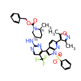 Cc1noc(C)c1-c1ccc2c(-c3nc(N[C@H]4CC[C@H](C)N(C(=O)OCc5ccccc5)C4)ncc3C(F)(F)F)cn(S(=O)(=O)c3ccccc3)c2n1